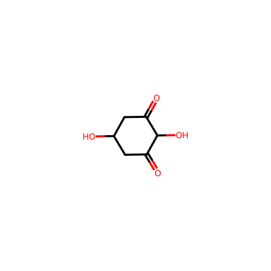 O=C1CC(O)CC(=O)C1O